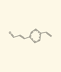 C=Cc1ccc(C=CC=O)cc1